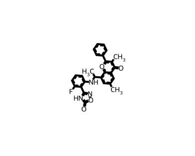 Cc1cc(C(C)Nc2cccc(F)c2-c2noc(=O)[nH]2)c2oc(-c3ccccc3)c(C)c(=O)c2c1